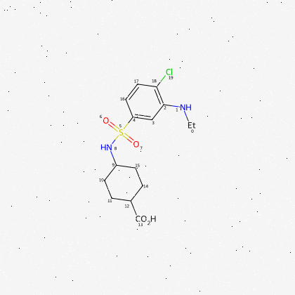 CCNc1cc(S(=O)(=O)NC2CCC(C(=O)O)CC2)ccc1Cl